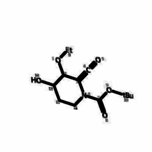 CCOC1C(=C=O)N(C(=O)OC(C)(C)C)CCC1O